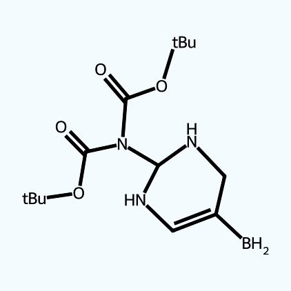 BC1=CNC(N(C(=O)OC(C)(C)C)C(=O)OC(C)(C)C)NC1